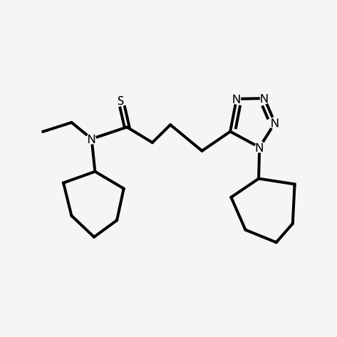 CCN(C(=S)CCCc1nnnn1C1CCCCC1)C1CCCCC1